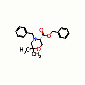 CC1(C)CN(Cc2ccccc2)[C@H](C(=O)OCc2ccccc2)CO1